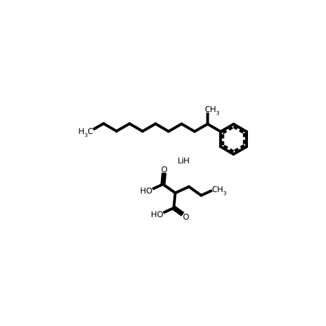 CCCC(C(=O)O)C(=O)O.CCCCCCCCCC(C)c1ccccc1.[LiH]